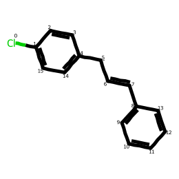 Clc1ccc([CH]/C=C/c2ccccc2)cc1